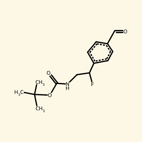 CC(C)(C)OC(=O)NCC(F)c1ccc(C=O)cc1